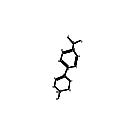 CC(C)c1ccc(C2=CCN(C)CC2)cn1